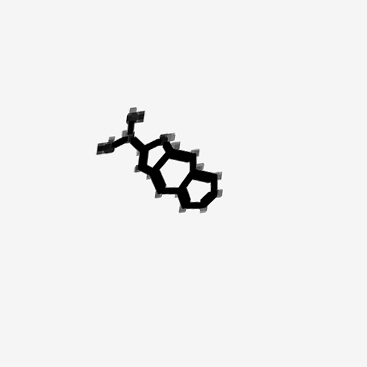 OB(O)c1cc2cc3ccccc3cc2s1